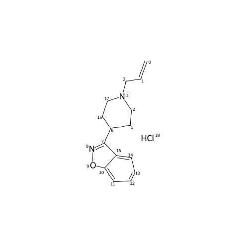 C=CCN1CCC(c2noc3ccccc23)CC1.Cl